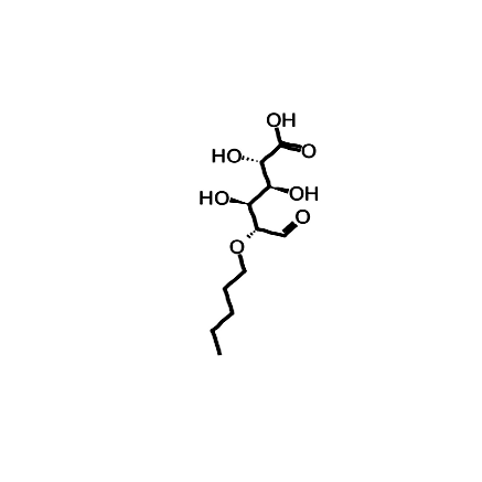 CCCCCO[C@@H](C=O)[C@@H](O)[C@H](O)[C@H](O)C(=O)O